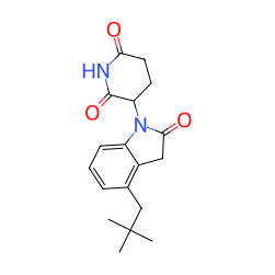 CC(C)(C)Cc1cccc2c1CC(=O)N2C1CCC(=O)NC1=O